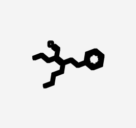 CCCC/C(CCc1ccccc1)=C(/C=O)CCC